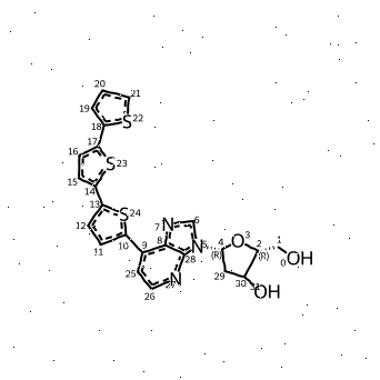 OC[C@H]1O[C@@H](n2cnc3c(-c4ccc(-c5ccc(-c6cccs6)s5)s4)ccnc32)CC1O